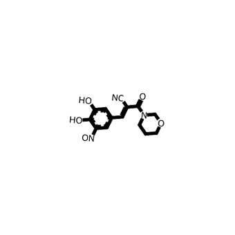 N#C/C(=C\c1cc(O)c(O)c(N=O)c1)C(=O)N1CCCOC1